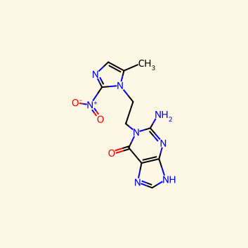 Cc1cnc([N+](=O)[O-])n1CCn1c(N)nc2[nH]cnc2c1=O